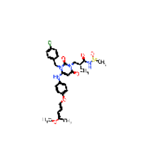 CO/C(C)=C/C=C/Oc1ccc(Nc2cc(=O)n(C[C@H](C)C(=O)N[S+](C)[O-])c(=O)n2Cc2ccc(Cl)cc2)cc1